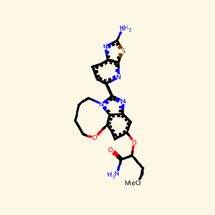 COCC(Oc1cc2c3c(c1)nc(-c1ccc4nc(N)sc4n1)n3CCCCO2)C(N)=O